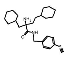 C#Sc1ccc(CNC(=O)[C@@](N)(CCC2CCCCC2)CC2CCCCC2)cc1